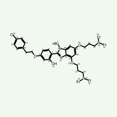 CCCCn1c(-c2ccc(OCCc3ccc(Cl)cc3)cc2O)nc2c(OCCCN(CC)CC)cc(OCCCN(CC)CC)cc21